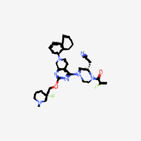 C=C(F)C(=O)N1CCN(c2nc(OC[C@]3(F)CCCN(C)C3)nc3c2CCN(c2cccc4c2CCCC4)C3)C[C@@H]1CC#N